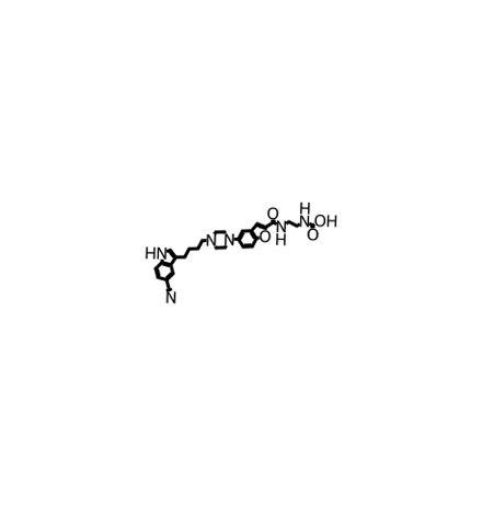 N#Cc1ccc2[nH]cc(CCCCN3CCN(c4ccc5oc(C(=O)NCCNC(=O)O)cc5c4)CC3)c2c1